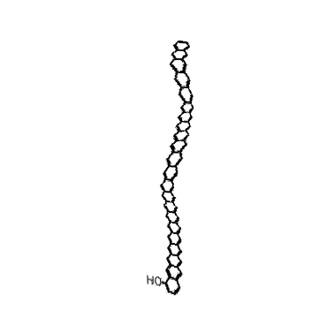 Oc1cccc2cc3cc4cc5cc6cc7cc8cc9cc%10cc%11cc%12cc%13cc%14cc%15cc%16cc%17cc%18cc%19cc%20cc%21cc%22ccccc%22cc%21cc%20cc%19cc%18cc%17cc%16cc%15cc%14cc%13cc%12cc%11cc%10cc9cc8cc7cc6cc5cc4cc3cc12